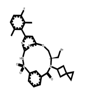 Cc1ccc(F)c(C)c1-c1cc2nc(n1)NS(=O)(=O)c1cccc(c1)C(=O)N(C1CC3(CC3)C1)[C@H](CC(C)C)CO2